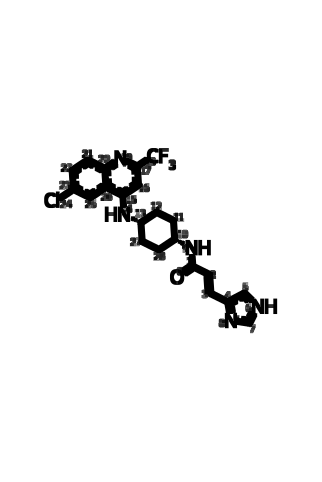 O=C(/C=C/c1c[nH]cn1)N[C@H]1CC[C@@H](Nc2cc(C(F)(F)F)nc3ccc(Cl)cc23)CC1